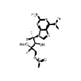 CCN(C)c1nc(N)nc2c1ncn2[C@](C)(F)C(O)[C@@](F)(CO[PH](C)=O)OC